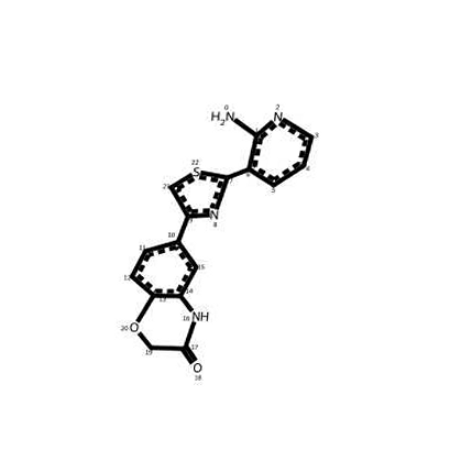 Nc1ncccc1-c1nc(-c2ccc3c(c2)NC(=O)CO3)cs1